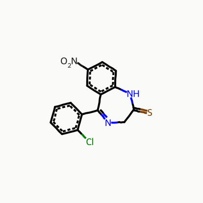 O=[N+]([O-])c1ccc2c(c1)C(c1ccccc1Cl)=NCC(=S)N2